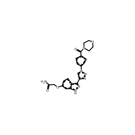 NC(=O)COc1ccc2c(-c3cn(-c4ccc(C(=O)N5CCOCC5)cc4)nn3)n[nH]c2c1